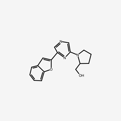 OCC1CCCN1c1cncc(-c2cc3ccccc3o2)n1